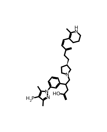 C=C(O)CC(CN1CC[C@@H](CCC(=C)/C=C\C2=C(C)NCCC2)C1)c1cccc(-n2nc(C)c(P)c2C)c1